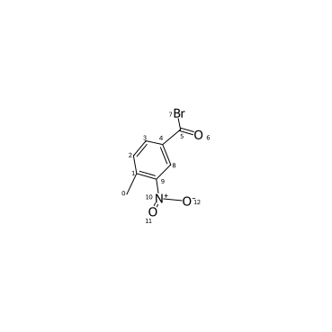 Cc1ccc(C(=O)Br)cc1[N+](=O)[O-]